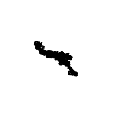 C=CC(=O)OCCCOc1ccc(C(=O)Oc2ccc(/C=C/C(=O)Oc3ccc(OC(=O)c4ccc(OCCCCCCOCC5(CC)COC5)cc4)c(/C=N/N(CC4CCCCC4)c4nc5ccccc5s4)c3)cc2OC)cc1